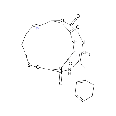 CC1NC(=O)CC2/C=C/CCSSCC(NC1=O)C(=O)N/C(CC1=CC=CCC1)=C\NCC(=O)O2